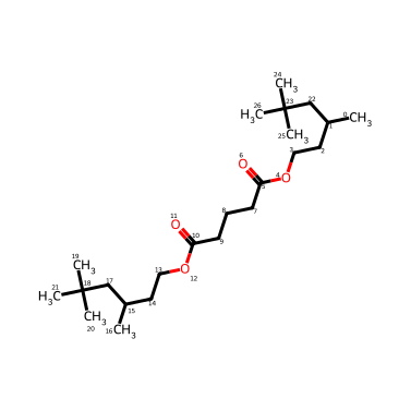 CC(CCOC(=O)CCCC(=O)OCCC(C)CC(C)(C)C)CC(C)(C)C